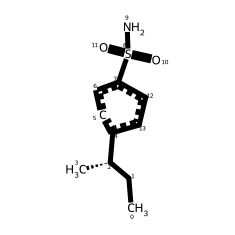 CC[C@H](C)c1ccc(S(N)(=O)=O)cc1